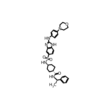 C[C@@H](NC(=O)[C@H]1CC[C@H](NS(=O)(=O)c2ccc3[nH]c(Nc4ccc(N5CCOCC5)cc4)nc3c2)CC1)c1ccccc1